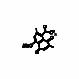 COc1cc(C)c(C(=O)C(F)(F)F)c2c1C(=O)C=C(C)C2=O